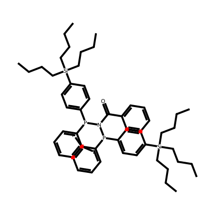 CCCC[Si](CCCC)(CCCC)c1ccc(P(c2ccccc2F)N(C(=O)c2ccccc2)P(c2ccc([Si](CCCC)(CCCC)CCCC)cc2)c2ccccc2F)cc1